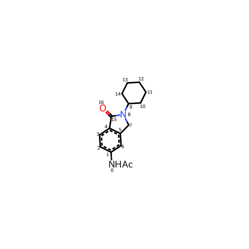 CC(=O)Nc1ccc2c(c1)CN(C1CCCCC1)C2=O